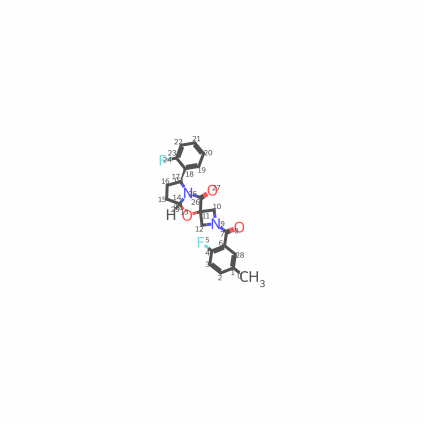 Cc1ccc(F)c(C(=O)N2CC3(C2)O[C@@H]2CC[C@@H](c4ccccc4F)N2C3=O)c1